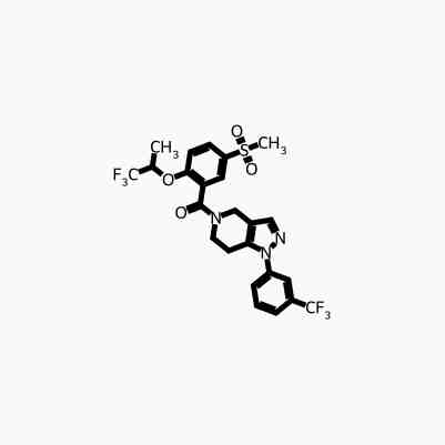 CC(Oc1ccc(S(C)(=O)=O)cc1C(=O)N1CCc2c(cnn2-c2cccc(C(F)(F)F)c2)C1)C(F)(F)F